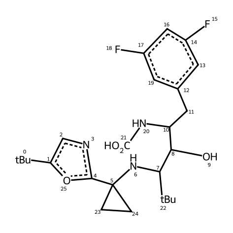 CC(C)(C)c1cnc(C2(NC(C(O)C(Cc3cc(F)cc(F)c3)NC(=O)O)C(C)(C)C)CC2)o1